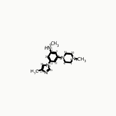 CNc1cc(N2CCN(C)CC2)cc(-n2cnc(C)c2)c1